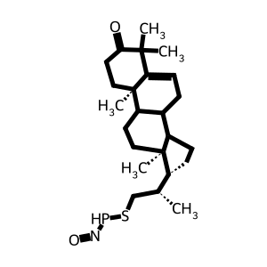 C[C@H](CSPN=O)[C@H]1CCC2C3CC=C4C(C)(C)C(=O)CC[C@]4(C)C3CC[C@@]21C